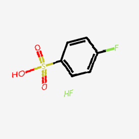 F.O=S(=O)(O)c1ccc(F)cc1